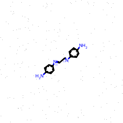 Nc1ccc(/N=C/C=N/c2ccc(N)cc2)cc1